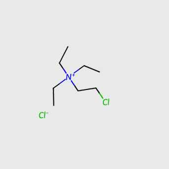 CC[N+](CC)(CC)CCCl.[Cl-]